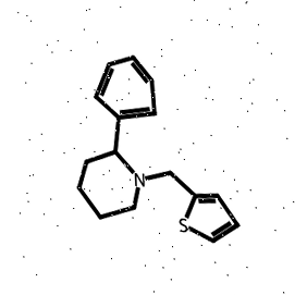 c1ccc(C2CCCCN2Cc2cccs2)cc1